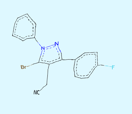 N#CCc1c(-c2ccc(F)cc2)nn(-c2ccccc2)c1Br